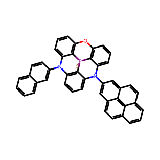 S=P12c3c4cccc3N(c3ccc5ccccc5c3)c3cccc(c31)N(c1cc3ccc5cccc6ccc(c1)c3c56)c1cccc(c12)O4